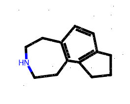 c1cc2c(c3c1CCC3)CCNCC2